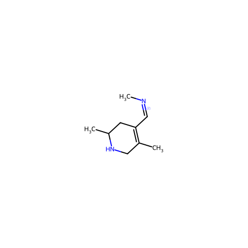 C/N=C\C1=C(C)CNC(C)C1